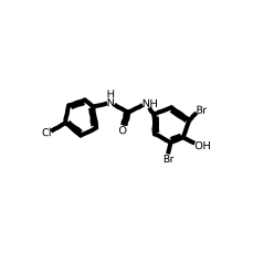 O=C(Nc1ccc(Cl)cc1)Nc1cc(Br)c(O)c(Br)c1